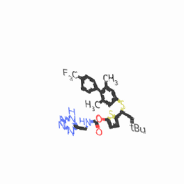 Cc1cc(SC(CC(C)(C)C)c2ccc(OC(=O)NCc3nnn[nH]3)s2)cc(C)c1-c1ccc(C(F)(F)F)cc1